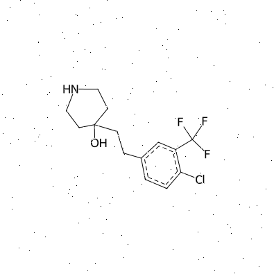 OC1(CCc2ccc(Cl)c(C(F)(F)F)c2)CCNCC1